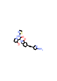 COc1cccnc1[C@H](C(=O)Nc1nccs1)N1Cc2ccc(C#Cc3ccc(N)nc3)cc2C1=O